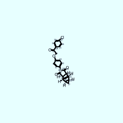 O=C(COc1ccc(N2C(=O)[C@@H]3[C@@H]4C=C[C@@H]([C@H]5C[C@@H]45)[C@@H]3C2=O)cc1)c1ccc(Cl)cc1